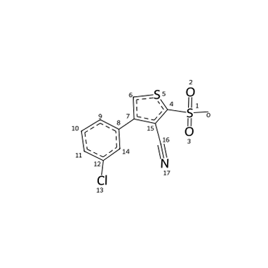 CS(=O)(=O)c1scc(-c2cccc(Cl)c2)c1C#N